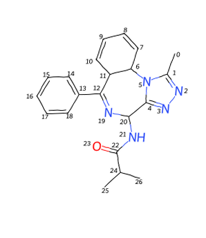 Cc1nnc2n1C1C=CC=CC1C(c1ccccc1)=NC2NC(=O)C(C)C